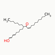 CCCCCCCCC/C=C\C(=O)C(CCCC/C=C/C=C/O)CCCCCCC